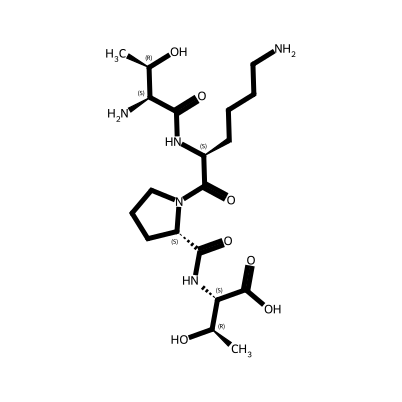 C[C@@H](O)[C@H](N)C(=O)N[C@@H](CCCCN)C(=O)N1CCC[C@H]1C(=O)N[C@H](C(=O)O)[C@@H](C)O